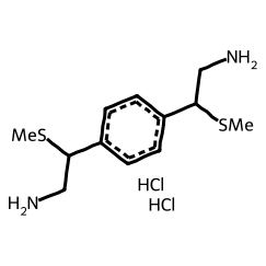 CSC(CN)c1ccc(C(CN)SC)cc1.Cl.Cl